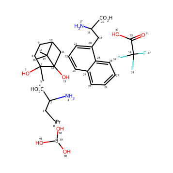 CC(C)CC(N)C(=O)O.CC1(O)CCC2CC1(O)C2(C)C.NC(Cc1cccc2ccccc12)C(=O)O.O=C(O)C(F)(F)F.OB(O)O